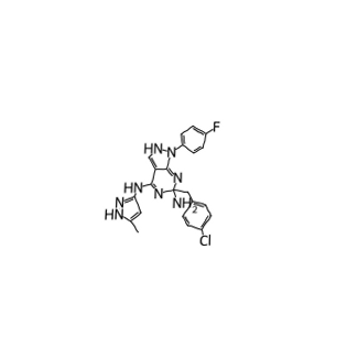 Cc1cc(NC2=NC(N)(Cc3ccc(Cl)cc3)N=C3C2=CNN3c2ccc(F)cc2)n[nH]1